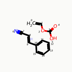 C=COC(=O)O.N#C/C=C/c1ccccc1